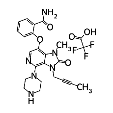 CC#CCn1c(=O)n(C)c2c(Oc3ccccc3C(N)=O)cnc(N3CCNCC3)c21.O=C(O)C(F)(F)F